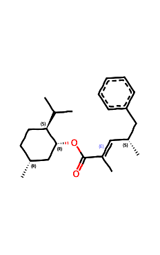 C/C(=C\[C@@H](C)Cc1ccccc1)C(=O)O[C@@H]1C[C@H](C)CC[C@H]1C(C)C